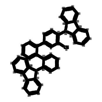 N#Cc1cc(-c2ccccc2-c2ccccc2-n2c3ccccc3c3ccccc32)ccc1-n1c2ccccc2c2ccccc21